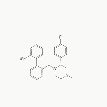 CC(C)c1ccccc1-c1ccccc1CN1CCN(C)C[C@H]1c1ccc(F)cc1